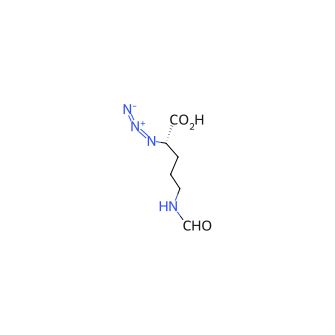 [N-]=[N+]=N[C@@H](CCCNC=O)C(=O)O